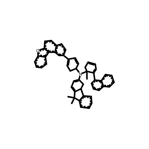 CC1(C)C2=CC=C(N(C3C=CC(c4ccc5ccc6oc7ccccc7c6c5c4)=CC3)C3(C)CC=CC=C3c3cccc4ccccc34)CC2c2ccccc21